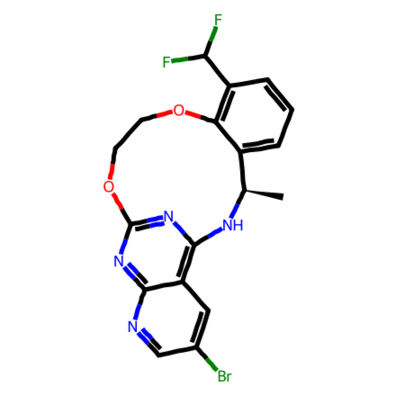 C[C@H]1Nc2nc(nc3ncc(Br)cc23)OCCOc2c(C(F)F)cccc21